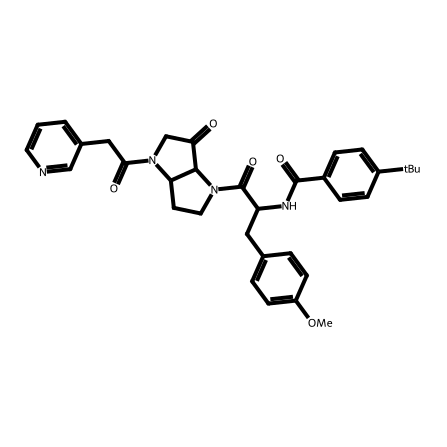 COc1ccc(CC(NC(=O)c2ccc(C(C)(C)C)cc2)C(=O)N2CCC3C2C(=O)CN3C(=O)Cc2cccnc2)cc1